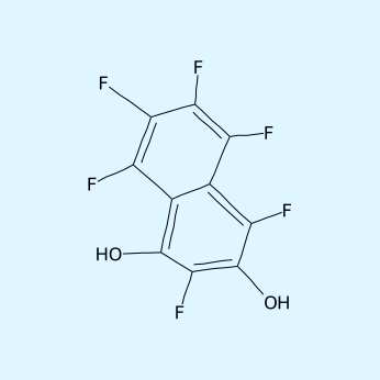 Oc1c(F)c(O)c2c(F)c(F)c(F)c(F)c2c1F